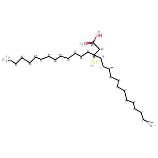 CCCCCCCCCCCCCC(S)(CCCCCCCCCCCCC)CC(=O)O